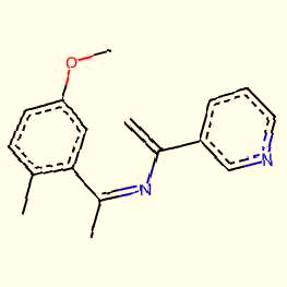 C=C(/N=C(/C)c1cc(OC)ccc1C)c1cccnc1